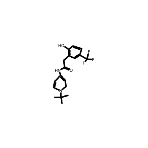 CC(C)(C)N1C=CC(NC(=O)Cc2cc(C(F)(F)F)ccc2O)=CC1